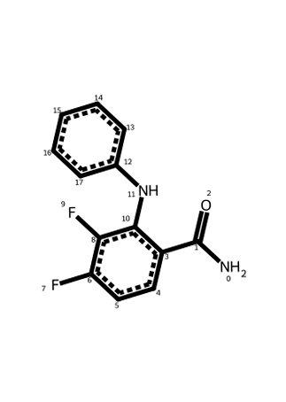 NC(=O)c1ccc(F)c(F)c1Nc1ccccc1